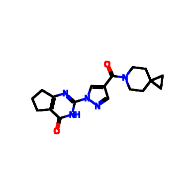 O=C(c1cnn(-c2nc3c(c(=O)[nH]2)CCC3)c1)N1CCC2(CC1)CC2